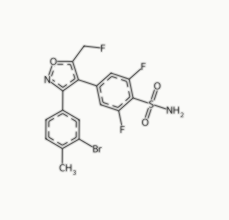 Cc1ccc(-c2noc(CF)c2-c2cc(F)c(S(N)(=O)=O)c(F)c2)cc1Br